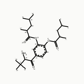 CC(C)CC(C)C(=O)Oc1ccc(C(=O)C(N)C(C)(C)C)cc1OC(=O)C(C)CC(C)C